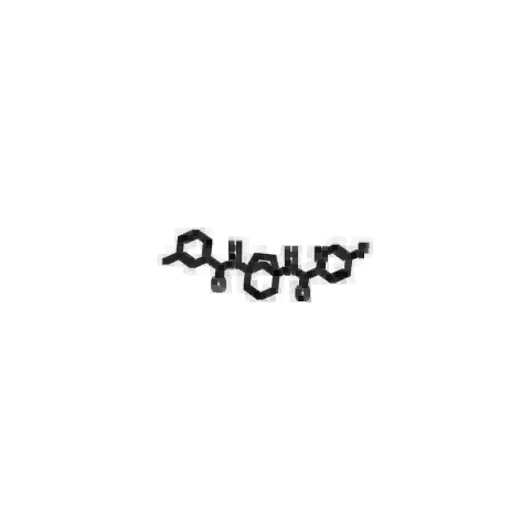 Cc1cccc(C(=O)NC23CCCC(NC(=O)c4ccc(F)cn4)(CC2)C3)c1